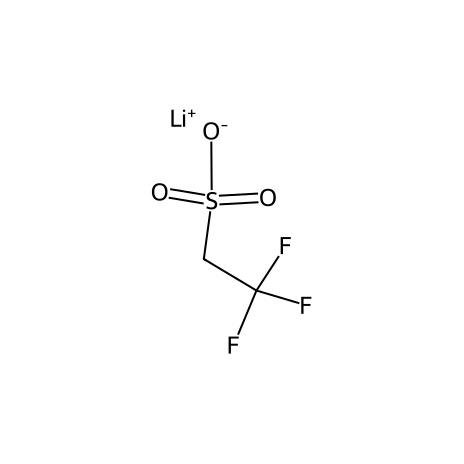 O=S(=O)([O-])CC(F)(F)F.[Li+]